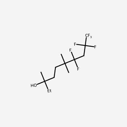 CCC(C)(O)CCC(C)(C)C(F)(F)CC(F)(F)C(F)(F)F